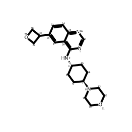 c1nc(N[C@H]2CC[C@H](N3CCOCC3)CC2)c2cc(C3COC3)ccc2n1